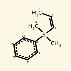 C/C=C\[Si](C)(C)c1ccccc1